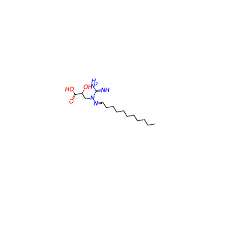 CCCCCCCCCCC=NN(CC(O)C(=O)O)C(=N)N